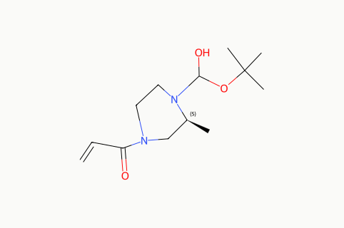 C=CC(=O)N1CCN(C(O)OC(C)(C)C)[C@@H](C)C1